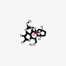 CCSc1nc(N2C[C@H]3CC[C@@H]([C@H]2CCOC(C)=O)N3C(=O)OC(C)(C)C)c2c(Br)nc(Cl)c(F)c2n1